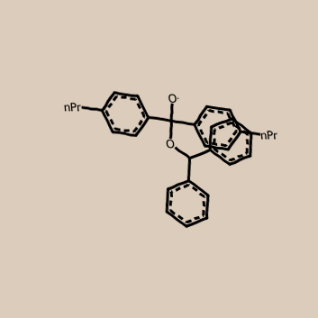 CCCc1ccc(C([O])(OC(c2ccccc2)c2ccccc2)c2ccc(CCC)cc2)cc1